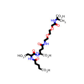 CC(NC(=O)COCCOCCNC(=O)CCC(NC(=O)C(CS(=O)(=O)O)NC(=O)CCCC(=O)O)C(=O)O)C(=O)O